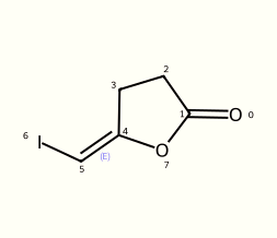 O=C1CC/C(=C\I)O1